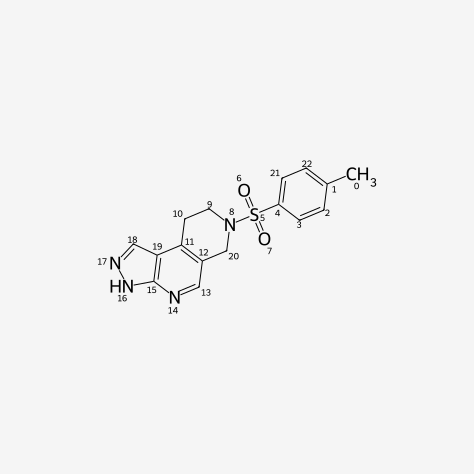 Cc1ccc(S(=O)(=O)N2CCc3c(cnc4[nH]ncc34)C2)cc1